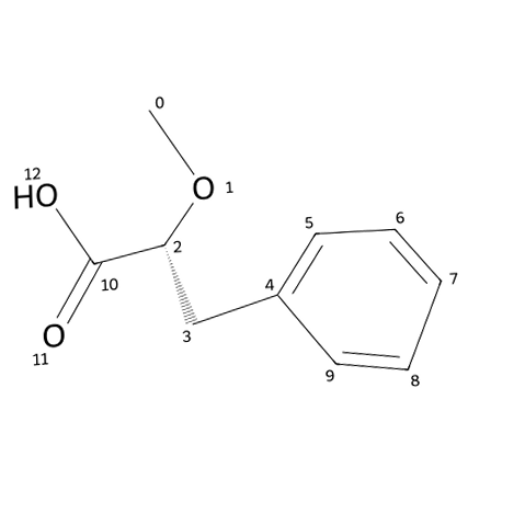 CO[C@H](Cc1ccccc1)C(=O)O